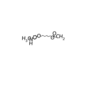 C=CC(=O)OCCCCCCOc1ccc(NC)cc1